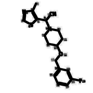 Cc1ncsc1C(C#N)N1CCC(OCc2cccc(F)c2)CC1